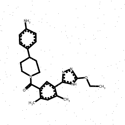 CCOc1nnc(-c2cc(C(=O)N3CCC(c4ccc(N)cc4)CC3)c(C)cc2C)[nH]1